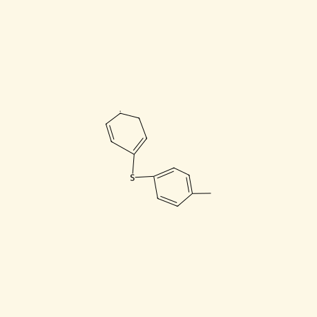 Cc1ccc(SC2=CC[CH]C=C2)cc1